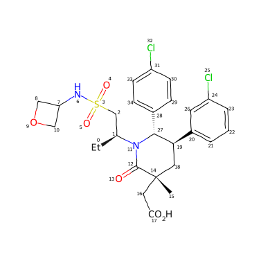 CC[C@@H](CS(=O)(=O)NC1COC1)N1C(=O)[C@@](C)(CC(=O)O)C[C@H](c2cccc(Cl)c2)[C@H]1c1ccc(Cl)cc1